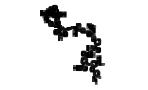 CC/N=C1/C=C(Oc2cc(NCC)ccc2Cc2cc(C(=O)NCCNC(=O)c3cccc(OCC(N=[N+]=[N-])OCCOCC(=O)NCC#Cc4cn([C@H]5C[C@@H](OCN=[N+]=[N-])[C@@H](COP(=O)(O)OP(=O)(O)OP(C)(=O)O)O5)c(=O)[nH]c4=O)c3)ccc2C(=O)O)CC=C1C